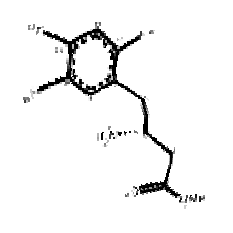 COC(=O)C[C@H](N)Cc1cc(F)c(F)cc1F